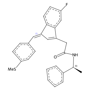 CSc1ccc(/C=C2\C=C(CC(=O)N[C@@H](C)c3ccccc3)c3cc(F)ccc32)cc1